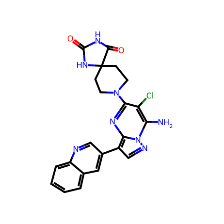 Nc1c(Cl)c(N2CCC3(CC2)NC(=O)NC3=O)nc2c(-c3cnc4ccccc4c3)cnn12